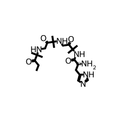 CCC(=O)C(C)(C)NCC(=O)C(C)(C)NCC(=O)C(C)(C)NC(=O)[C@@H](N)Cc1cnc[nH]1